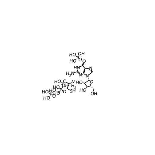 NC(CS)C(=O)O.Nc1nc2c(ncn2[C@@H]2O[C@H](CO)[C@@H](O)[C@H]2O)c(=O)[nH]1.O=P(O)(O)O.O=P(O)(O)O.O=P(O)(O)O